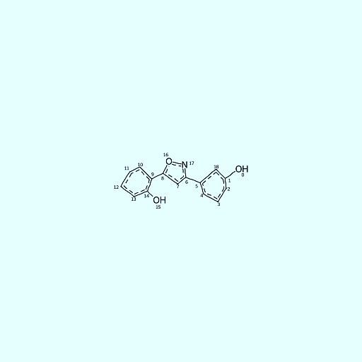 Oc1cccc(-c2cc(-c3ccccc3O)on2)c1